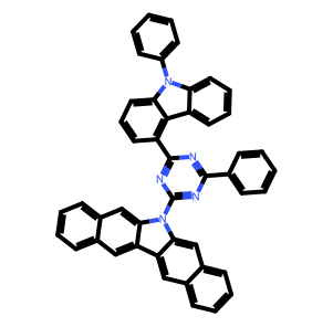 c1ccc(-c2nc(-c3cccc4c3c3ccccc3n4-c3ccccc3)nc(-n3c4cc5ccccc5cc4c4cc5ccccc5cc43)n2)cc1